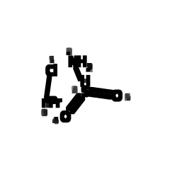 CCCCl.N[SH](=O)=O